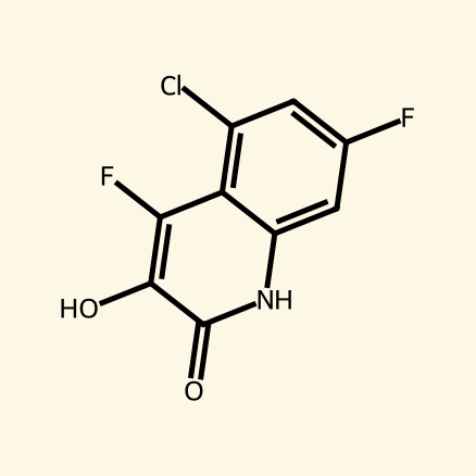 O=c1[nH]c2cc(F)cc(Cl)c2c(F)c1O